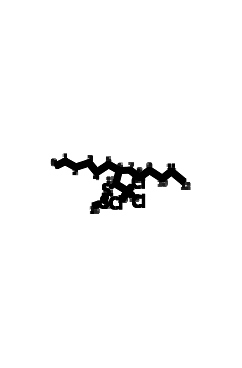 CCCCCCC(CCCCCC)[C@H](SSC)C(Cl)(Cl)Cl